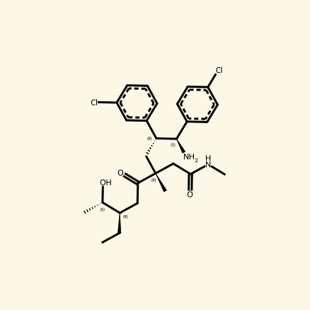 CC[C@H](CC(=O)[C@@](C)(CC(=O)NC)C[C@H](c1cccc(Cl)c1)[C@H](N)c1ccc(Cl)cc1)[C@H](C)O